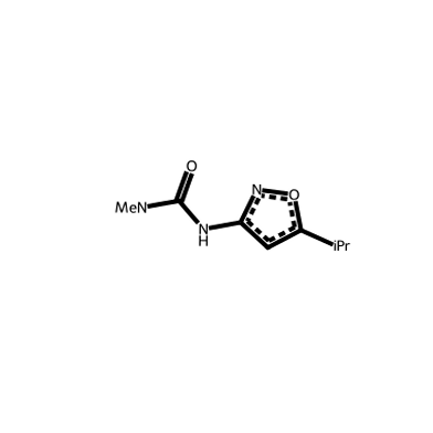 CNC(=O)Nc1cc(C(C)C)on1